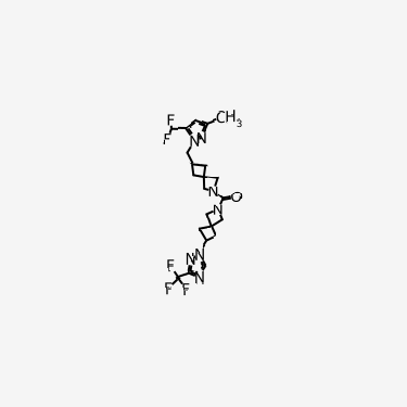 Cc1cc(C(F)F)n(CC2CC3(C2)CN(C(=O)N2CC4(CC(n5cnc(C(F)(F)F)n5)C4)C2)C3)n1